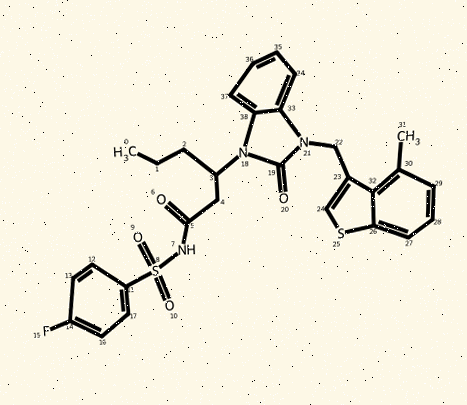 CCCC(CC(=O)NS(=O)(=O)c1ccc(F)cc1)n1c(=O)n(Cc2csc3cccc(C)c23)c2ccccc21